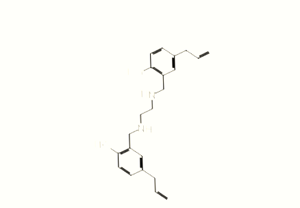 C=CCc1ccc(O)c(CNCCNCc2cc(CC=C)ccc2O)c1